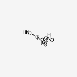 Cn1c(=O)n(C2CCC(=O)NC2=O)c2ccc(N3CCC(C#CC4CCNCC4)CC3)cc21